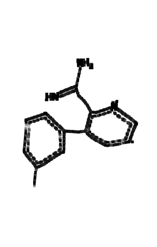 Cc1cccc(-c2c[c]cnc2C(=N)N)c1